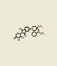 CN(CC1(C)CCN(c2ccc3c(c2)C(=O)N(C2CCC(=O)NC2=O)C3=O)CC1)C1CCCCC1